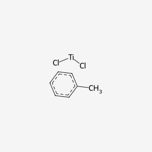 Cc1ccccc1.[Cl][Ti][Cl]